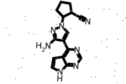 N#CC1CCCC1n1cc(-c2ncnc3[nH]ccc23)c(N)n1